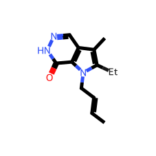 CC=CCn1c(CC)c(C)c2cn[nH]c(=O)c21